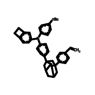 C=Cc1ccc(C23CC4CC(C2)CC(c2ccc(N(c5ccc(CCCC)cc5)c5ccc6c(c5)CC6)cc2)(C4)C3)cc1